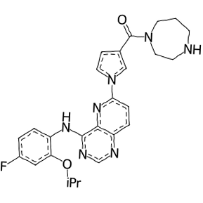 CC(C)Oc1cc(F)ccc1Nc1ncnc2ccc(-n3ccc(C(=O)N4CCCNCC4)c3)nc12